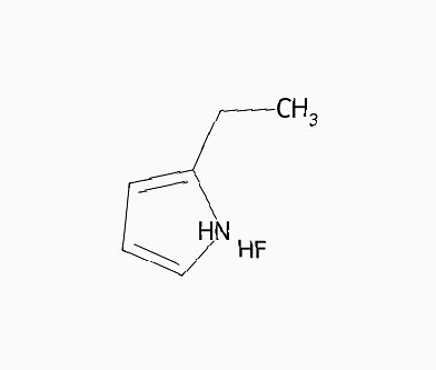 CCc1ccc[nH]1.F